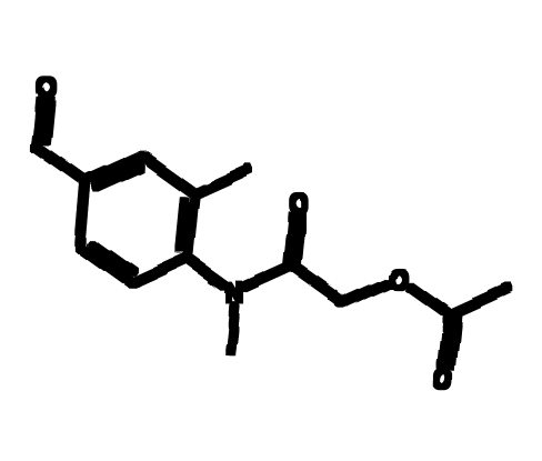 CC(=O)OCC(=O)N(C)c1ccc(C=O)cc1C